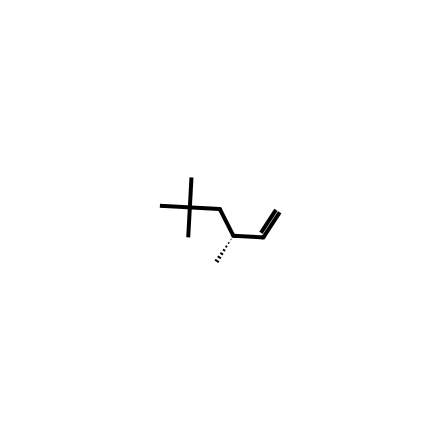 C=C[C@H](C)CC(C)(C)C